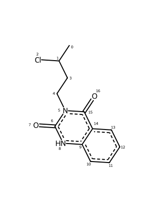 CC(Cl)CCn1c(=O)[nH]c2ccccc2c1=O